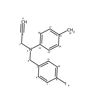 C#CCN(Cc1ccc(I)cc1)c1ccc(C)cc1